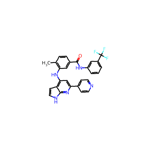 Cc1ccc(C(=O)Nc2cccc(C(F)(F)F)c2)cc1Nc1cc(-c2ccncc2)nc2[nH]ccc12